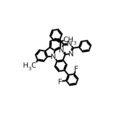 Cc1ccc2c3ccc(C)cc3n(-c3ccc(-c4c(F)cccc4F)cc3-c3nc(-c4ccccc4)nc(-c4ccccc4)n3)c2c1